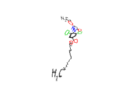 CCCCCCCCCCCCCCOC(=O)c1cc(Cl)c(N2N=C(OCC)CC2=O)c(Cl)c1